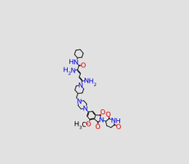 COc1cc(N2CCN(CC3CCN(/C(N)=C/C=C(\N)C(=O)NC4CCCCC4)CC3)CC2)cc2c1C(=O)N(C1CCC(=O)NC1=O)C2=O